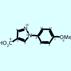 COc1ccc(-n2cc(C(=O)O)cn2)cc1